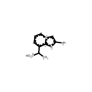 CCCc1cn2cccc(C(C)C(=O)O)c2n1